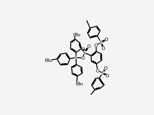 Cc1ccc(S(=O)(=O)Oc2ccc(OS(=O)(=O)c3ccc(C)cc3)c(S(=O)(=O)OS(c3ccc(C(C)(C)C)cc3)(c3ccc(C(C)(C)C)cc3)c3ccc(C(C)(C)C)cc3)c2)cc1